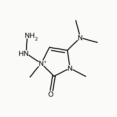 CN(C)C1=C[N+](C)(NN)C(=O)N1C